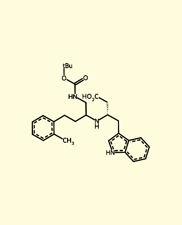 Cc1ccccc1CCC(CNC(=O)OC(C)(C)C)N[C@H](CC(=O)O)Cc1c[nH]c2ccccc12